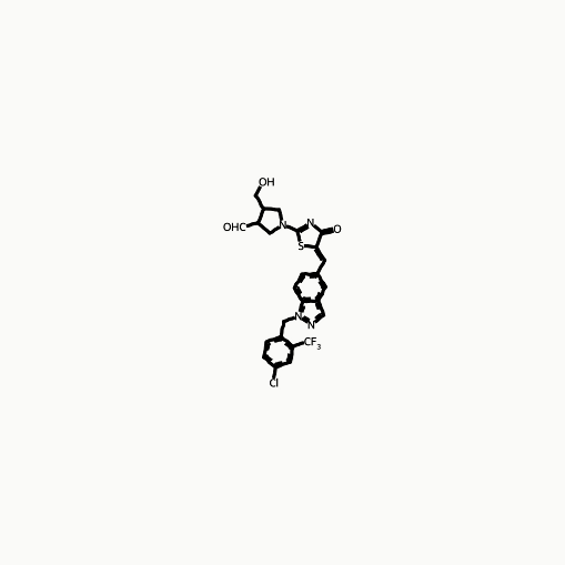 O=CC1CN(C2=NC(=O)/C(=C/c3ccc4c(cnn4Cc4ccc(Cl)cc4C(F)(F)F)c3)S2)CC1CO